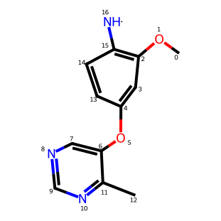 COc1cc(Oc2cncnc2C)ccc1[NH]